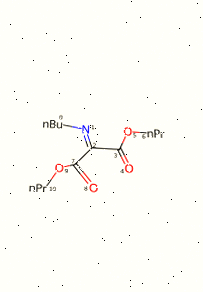 CCCCN=C(C(=O)OCCC)C(=O)OCCC